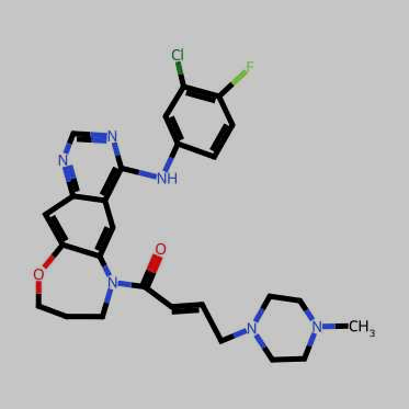 CN1CCN(C/C=C/C(=O)N2CCCOc3cc4ncnc(Nc5ccc(F)c(Cl)c5)c4cc32)CC1